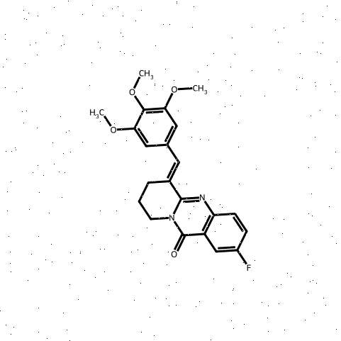 COc1cc(/C=C2\CCCn3c2nc2ccc(F)cc2c3=O)cc(OC)c1OC